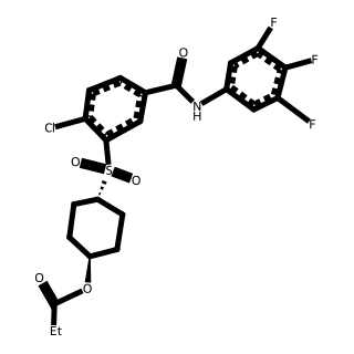 CCC(=O)O[C@H]1CC[C@H](S(=O)(=O)c2cc(C(=O)Nc3cc(F)c(F)c(F)c3)ccc2Cl)CC1